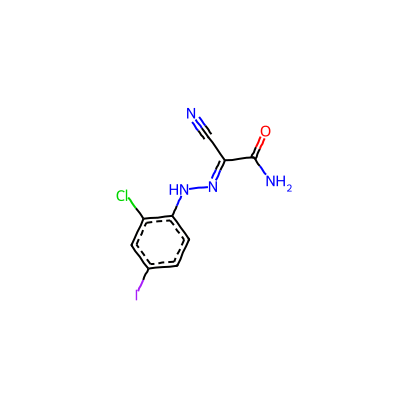 N#C/C(=N\Nc1ccc(I)cc1Cl)C(N)=O